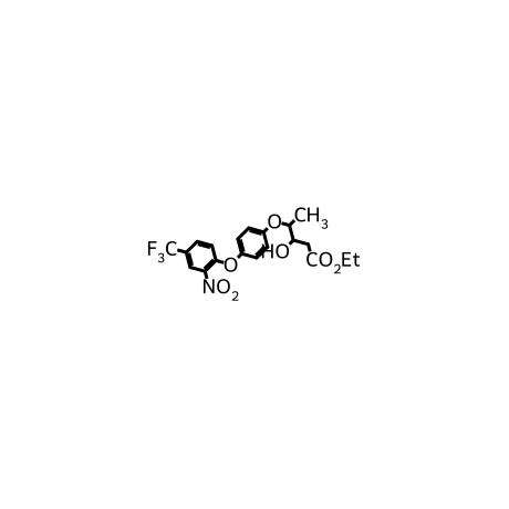 CCOC(=O)CC(O)C(C)Oc1ccc(Oc2ccc(C(F)(F)F)cc2[N+](=O)[O-])cc1